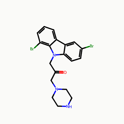 O=C(CN1CCNCC1)Cn1c2ccc(Br)cc2c2cccc(Br)c21